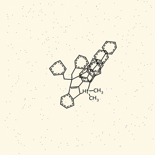 [CH3][Hf]1([CH3])[CH]2C(c3ccc(-c4ccccc4)cc3)=C(c3ccccc32)C(Cc2ccccc2)(Cc2ccccc2)C2=C(c3ccc(-c4ccccc4)cc3)[CH]1c1ccccc12